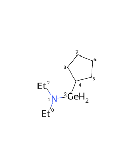 CC[N](CC)[GeH2][CH]1CCCC1